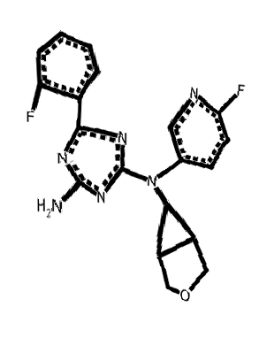 Nc1nc(-c2ccccc2F)nc(N(c2ccc(F)nc2)C2C3COCC32)n1